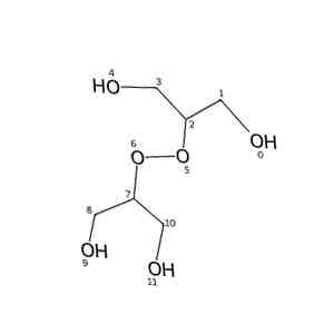 OCC(CO)OOC(CO)CO